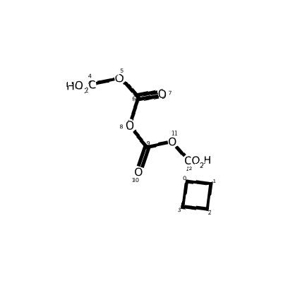 C1CCC1.O=C(O)OC(=O)OC(=O)OC(=O)O